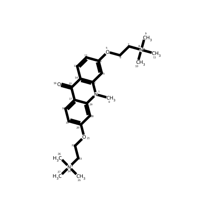 Cn1c2cc(OCC[N+](C)(C)C)ccc2c(=O)c2ccc(OCC[N+](C)(C)C)cc21